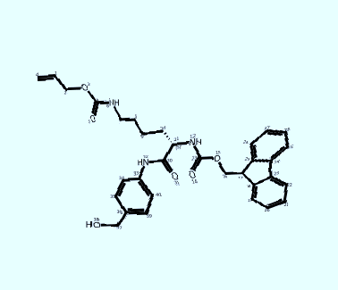 C=CCOC(=O)NCCCC[C@H](NC(=O)OCC1c2ccccc2-c2ccccc21)C(=O)Nc1ccc(CO)cc1